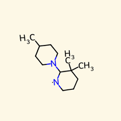 CC1CCN(C2[N]CCCC2(C)C)CC1